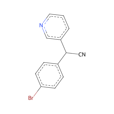 N#CC(c1ccc(Br)cc1)c1cccnc1